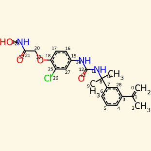 C=C(C)c1cccc(C(C)(C)NC(=O)Nc2ccc(OCC(=O)NO)c(Cl)c2)c1